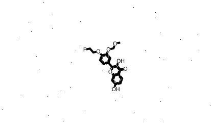 COCOc1cc(-c2oc3cc(O)ccc3c(=O)c2O)ccc1OCCF